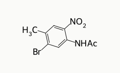 CC(=O)Nc1cc(Br)c(C)cc1[N+](=O)[O-]